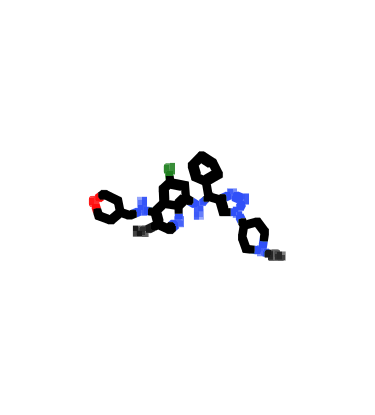 CC(C)(C)N1CCC(n2cc([C@@H](Nc3cc(Cl)cc4c(NCC5CCOCC5)c(C#N)cnc34)c3ccccc3)nn2)CC1